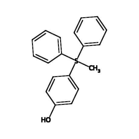 CS(c1ccccc1)(c1ccccc1)c1ccc(O)cc1